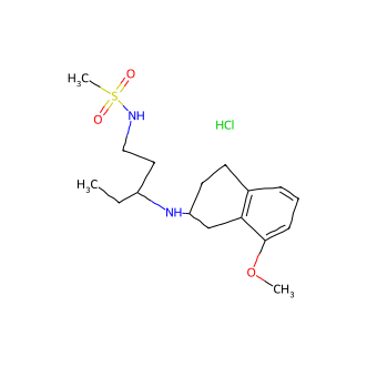 CCC(CCNS(C)(=O)=O)NC1CCc2cccc(OC)c2C1.Cl